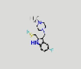 CN1CCN(Cc2c(CSF)[nH]c3ccc(F)cc23)CC1